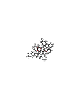 CC1(C)c2ccccc2-c2cccc(-c3ccccc3N(c3ccc4c(c3)-c3ccccc3C43c4ccccc4-c4ccccc43)c3cccc(-c4ccccc4)c3-c3ccccc3-c3ccccc3)c21